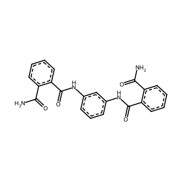 NC(=O)c1ccccc1C(=O)Nc1cccc(NC(=O)c2ccccc2C(N)=O)c1